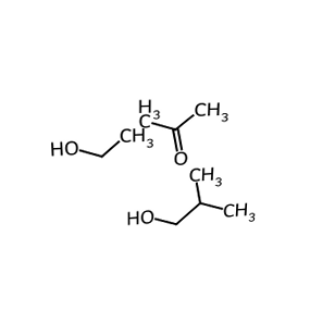 CC(C)=O.CC(C)CO.CCO